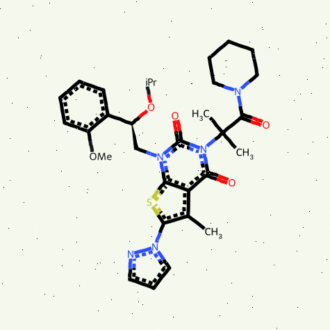 COc1ccccc1[C@H](Cn1c(=O)n(C(C)(C)C(=O)N2CCCCC2)c(=O)c2c(C)c(-n3cccn3)sc21)OC(C)C